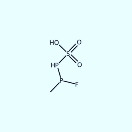 CP(F)PS(=O)(=O)O